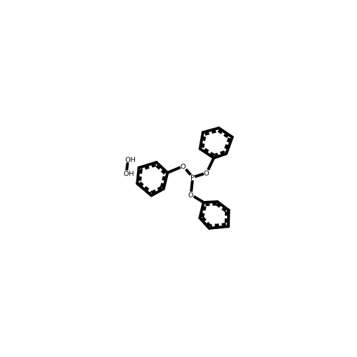 OO.c1ccc(OP(Oc2ccccc2)Oc2ccccc2)cc1